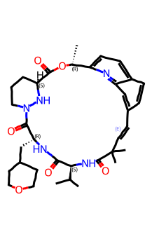 CC(C)[C@@H]1NC(=O)C(C)(C)/C=C/c2ccc3ccc(nc3c2)[C@@H](C)OC(=O)[C@@H]2CCCN(N2)C(=O)[C@@H](CC2CCOCC2)NC1=O